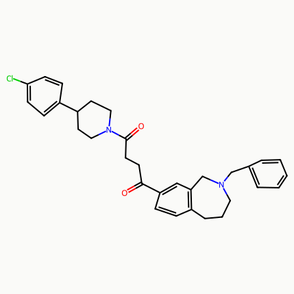 O=C(CCC(=O)N1CCC(c2ccc(Cl)cc2)CC1)c1ccc2c(c1)CN(Cc1ccccc1)CCC2